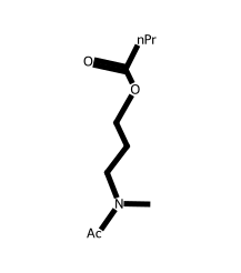 CCCC(=O)OCCCN(C)C(C)=O